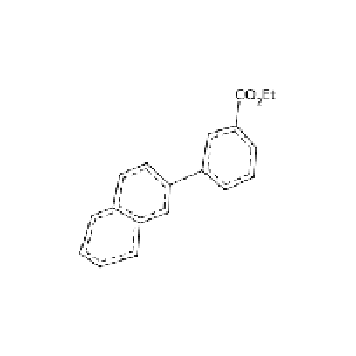 CCOC(=O)c1cccc(-c2ccc3ccccc3c2)c1